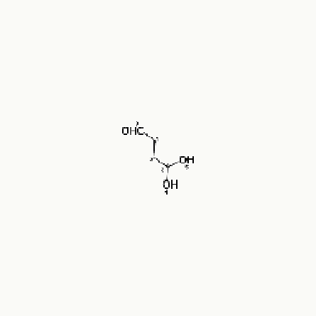 O=CCC[C](O)O